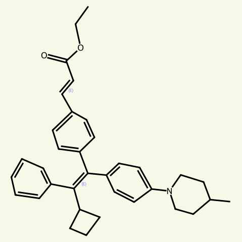 CCOC(=O)/C=C/c1ccc(/C(=C(\c2ccccc2)C2CCC2)c2ccc(N3CCC(C)CC3)cc2)cc1